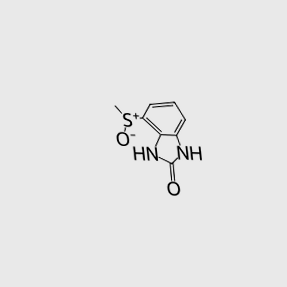 C[S+]([O-])c1cccc2[nH]c(=O)[nH]c12